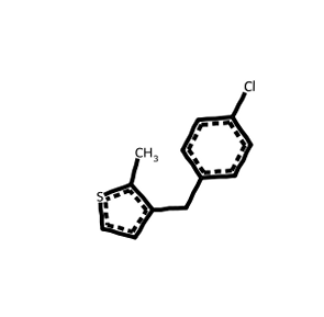 Cc1sccc1Cc1ccc(Cl)cc1